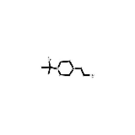 CCC(C)(C)N1CCN(CCC#N)CC1